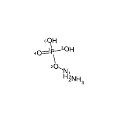 N.NOP(=O)(O)O